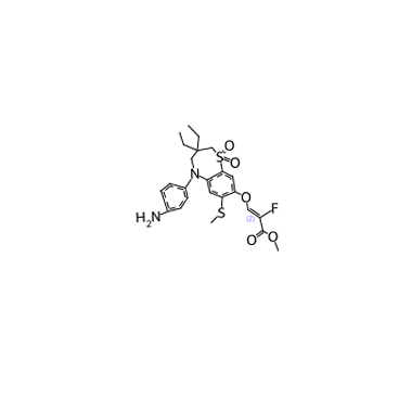 CCC1(CC)CN(c2ccc(N)cc2)c2cc(SC)c(O/C=C(\F)C(=O)OC)cc2S(=O)(=O)C1